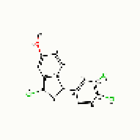 COc1ccc2c(c1)C(Cl)CC2c1ccc(Cl)c(Cl)c1